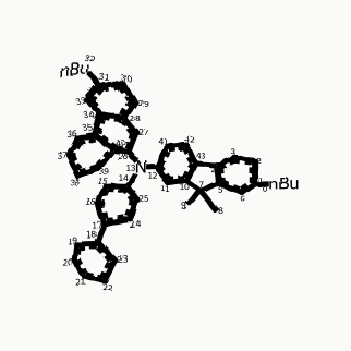 CCCCc1ccc2c(c1)C(C)(C)c1cc(N(c3ccc(-c4ccccc4)cc3)c3cc4ccc(CCCC)cc4c4ccccc34)ccc1-2